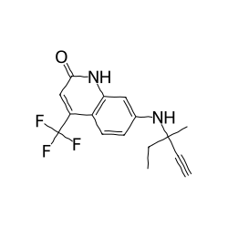 C#CC(C)(CC)Nc1ccc2c(C(F)(F)F)cc(=O)[nH]c2c1